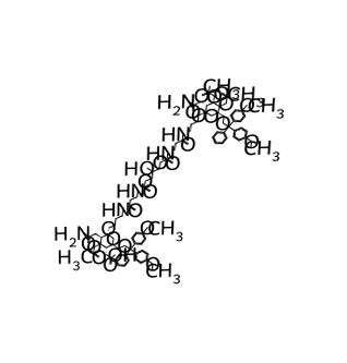 COc1ccc(C(OC[C@@H]2O[C@@H](OCCCNC(=O)CCNC(=O)OCC(O)COC(=O)NCCC(=O)NCCCO[C@@H]3O[C@H](COC(c4ccccc4)(c4ccc(OC)cc4)c4ccc(OC)cc4)[C@H](OC(C)=O)[C@H](OC(C)=O)[C@H]3CC(N)=O)[C@H](CC(N)=O)[C@H](OC(C)=O)[C@H]2CC(=O)O)(c2ccccc2)c2ccc(OC)cc2)cc1